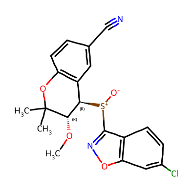 CO[C@H]1[C@H]([S+]([O-])c2noc3cc(Cl)ccc23)c2cc(C#N)ccc2OC1(C)C